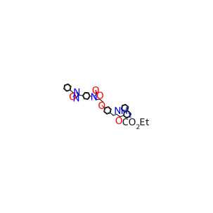 CCOC(=O)c1ccc2ccccc2c1C(=O)C(N)Cc1ccc(OCC2CN(c3ccc(-c4noc(-c5ccccc5)n4)cc3)C(=O)O2)cc1